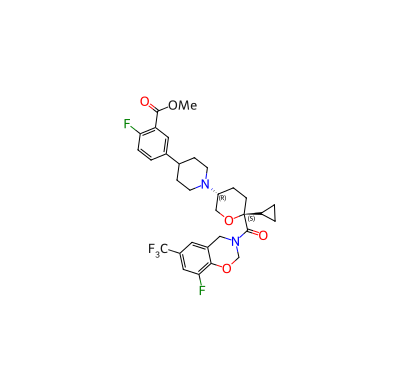 COC(=O)c1cc(C2CCN([C@@H]3CC[C@@](C(=O)N4COc5c(F)cc(C(F)(F)F)cc5C4)(C4CC4)OC3)CC2)ccc1F